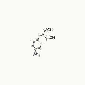 Bc1ccc(CC(CO)CO)cc1